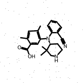 Cc1cc(C)c(N(c2ccccc2C#N)[C@H]2CCNCC2(C)C)cc1C(=O)O